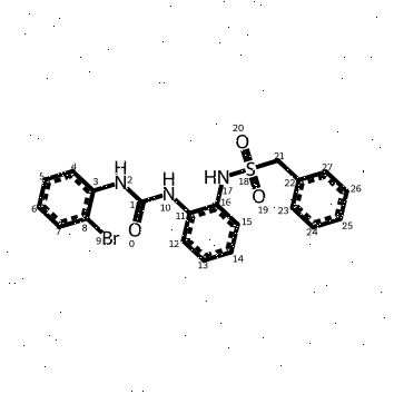 O=C(Nc1ccccc1Br)Nc1ccccc1NS(=O)(=O)Cc1ccccc1